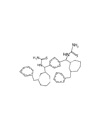 NC(=S)NC(c1ccc(C(NC(N)=S)C2CCCCC(Cc3ccccc3)C2)cc1)C1CCCCC(Cc2ccccc2)C1